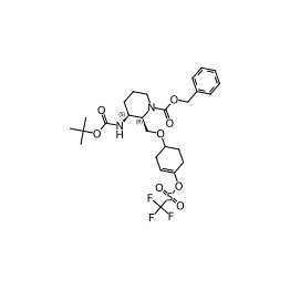 CC(C)(C)OC(=O)N[C@H]1CCCN(C(=O)OCc2ccccc2)[C@H]1COC1CC=C(OS(=O)(=O)C(F)(F)F)CC1